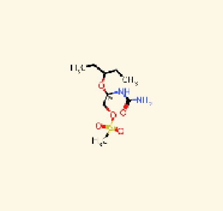 CCC(CC)O[C@H](COS(C)(=O)=O)NC(N)=O